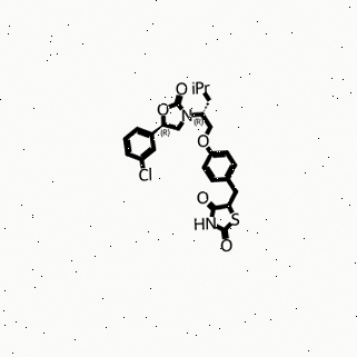 CC(C)C[C@H](COc1ccc(CC2SC(=O)NC2=O)cc1)N1C[C@@H](c2cccc(Cl)c2)OC1=O